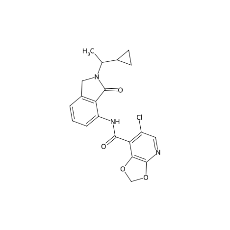 CC(C1CC1)N1Cc2cccc(NC(=O)c3c(Cl)cnc4c3OCO4)c2C1=O